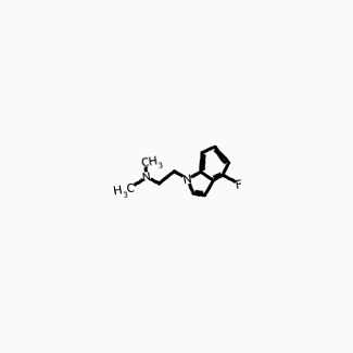 CN(C)CCn1ccc2c(F)cccc21